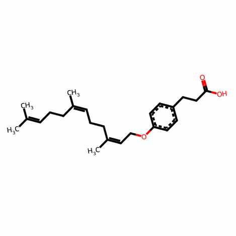 CC(C)=CCCC(C)=CCCC(C)=CCOc1ccc(CCC(=O)O)cc1